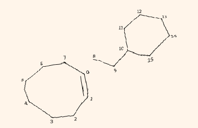 C1=CCCCCCC1.CCC1CCCCC1